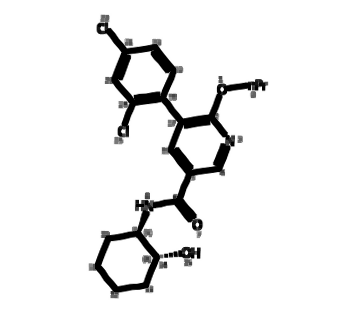 CCCOc1ncc(C(=O)N[C@@H]2CCCC[C@H]2O)cc1-c1ccc(Cl)cc1Cl